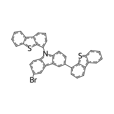 Brc1ccc2c(c1)c1cc(-c3cccc4c3sc3ccccc34)ccc1n2-c1cccc2c1sc1ccccc12